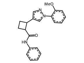 COc1ccccc1-n1cc(C2CCC2C(=O)Nc2ccccc2)cn1